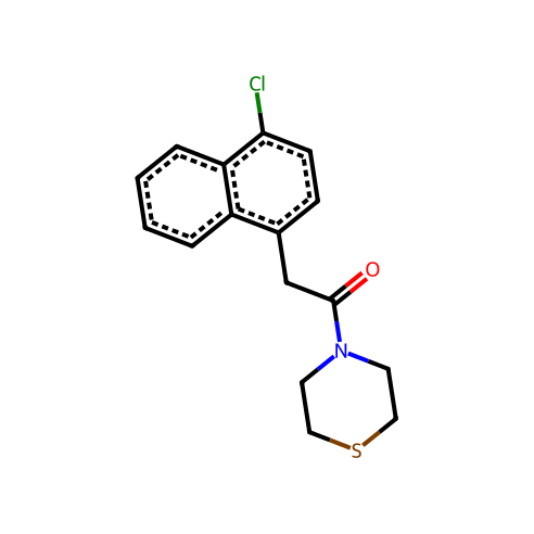 O=C(Cc1ccc(Cl)c2ccccc12)N1CCSCC1